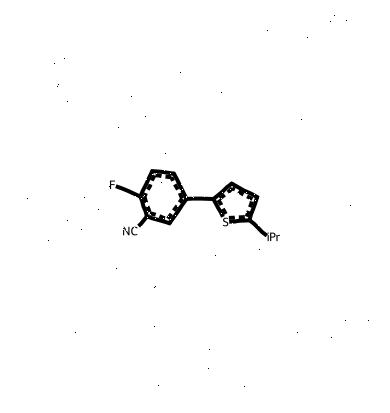 CC(C)c1ccc(-c2ccc(F)c(C#N)c2)s1